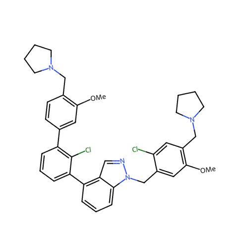 COc1cc(-c2cccc(-c3cccc4c3cnn4Cc3cc(OC)c(CN4CCCC4)cc3Cl)c2Cl)ccc1CN1CCCC1